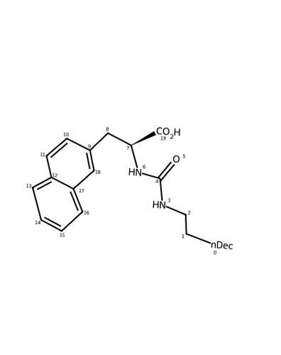 CCCCCCCCCCCCNC(=O)N[C@@H](Cc1ccc2ccccc2c1)C(=O)O